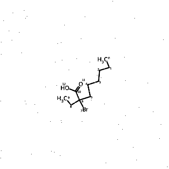 CCCCCCC(Br)(CC)C(=O)O